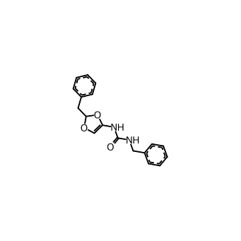 O=C(NCc1ccccc1)NC1=COC(Cc2ccccc2)O1